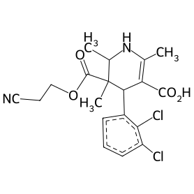 CC1=C(C(=O)O)C(c2cccc(Cl)c2Cl)C(C)(C(=O)OCCC#N)C(C)N1